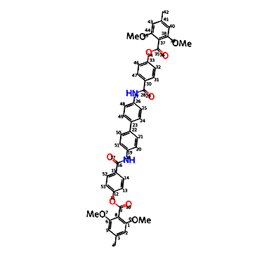 COc1cc(C)cc(OC)c1C(=O)Oc1ccc(C(=O)Nc2ccc(-c3ccc(NC(=O)c4ccc(OC(=O)c5c(OC)cc(C)cc5OC)cc4)cc3)cc2)cc1